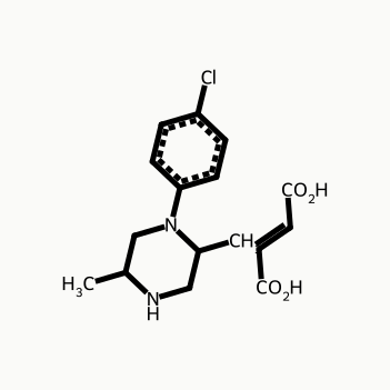 CC1CN(c2ccc(Cl)cc2)C(C)CN1.O=C(O)/C=C/C(=O)O